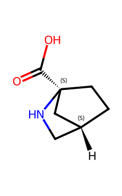 O=C(O)[C@@]12CC[C@H](CN1)C2